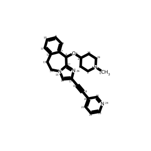 CN1CCC(OC2c3ccccc3CCn3cc(C#Cc4cccnc4)nc32)CC1